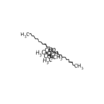 CC(C)(C)OOC(C)(C)C.CCCCCCCCCCCCOOCCCCCCCCCCCC